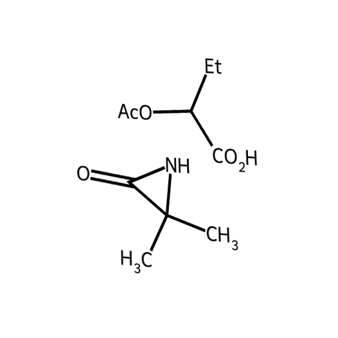 CC1(C)NC1=O.CCC(OC(C)=O)C(=O)O